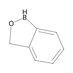 B1OCc2ccccc21